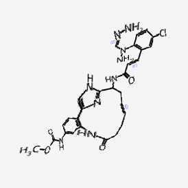 COC(=O)Nc1ccc2c(c1)NC(=O)CC/C=C/CC(NC(=O)/C=C/c1cc(Cl)ccc1N(N)/C=N\N)c1nc-2c[nH]1